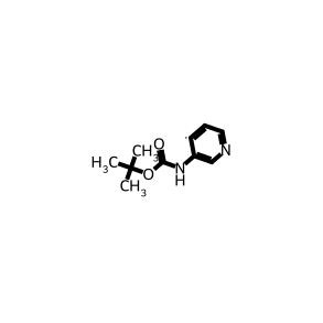 CC(C)(C)OC(=O)Nc1[c]ccnc1